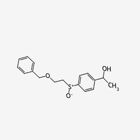 CC(O)c1ccc([S+]([O-])CCOCc2ccccc2)cc1